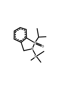 CC(C)P1(=O)c2ccccc2CN1[Si](C)(C)C